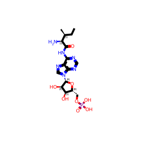 CC[C@H](C)[C@H](N)C(=O)Nc1ncnc2c1ncn2[C@@H]1O[C@H](COP(=O)(O)O)[C@@H](O)[C@H]1O